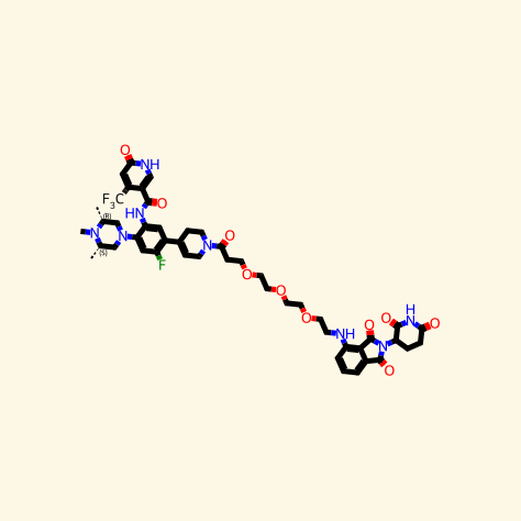 C[C@@H]1CN(c2cc(F)c(C3=CCN(C(=O)CCOCCOCCOCCNc4cccc5c4C(=O)N(C4CCC(=O)NC4=O)C5=O)CC3)cc2NC(=O)c2c[nH]c(=O)cc2C(F)(F)F)C[C@H](C)N1C